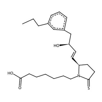 CCCc1cccc(C[C@H](O)/C=C/[C@H]2CCC(=S)N2CCCCCCC(=O)O)c1